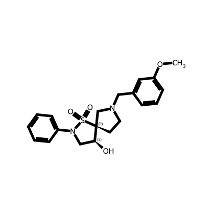 COc1cccc(CN2CC[C@@]3(C2)[C@@H](O)CN(c2ccccc2)S3(=O)=O)c1